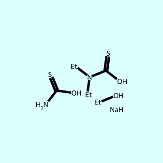 CCN(CC)C(O)=S.CCO.NC(O)=S.[NaH]